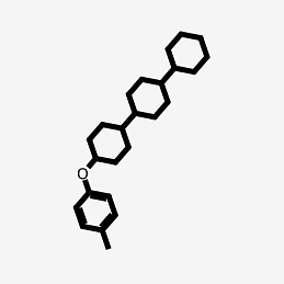 Cc1ccc(OC2CCC(C3CCC(C4CCCCC4)CC3)CC2)cc1